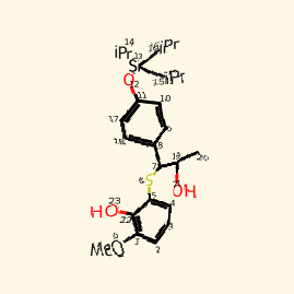 COc1cccc(SC(c2ccc(O[Si](C(C)C)(C(C)C)C(C)C)cc2)C(C)O)c1O